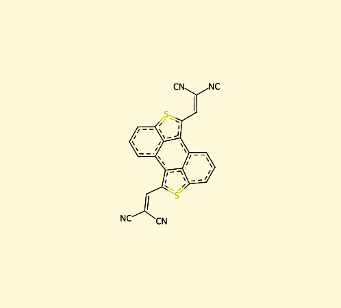 [C-]#[N+]C(=Cc1sc2cccc3c4c(C=C(C#N)C#N)sc5cccc(c1c23)c54)[N+]#[C-]